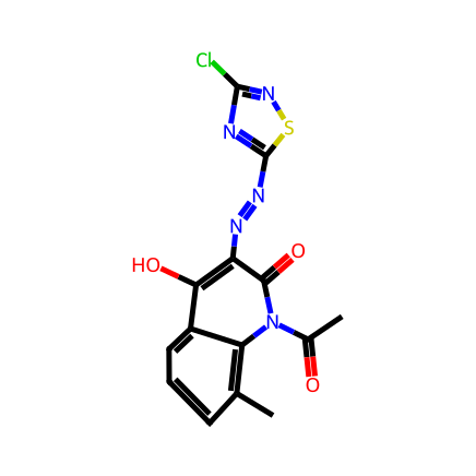 CC(=O)n1c(=O)c(N=Nc2nc(Cl)ns2)c(O)c2cccc(C)c21